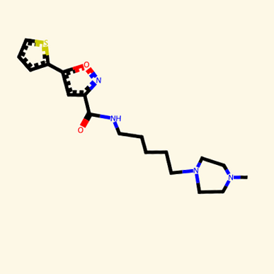 CN1CCN(CCCCCNC(=O)c2cc(-c3cccs3)on2)CC1